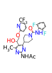 CC(=O)Nc1nc(C)c(C(O)COc2cccc(C(F)(F)F)n2)c(C2CCN(C(=O)Nc3c(F)cccc3F)CC2)n1